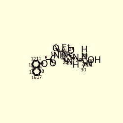 CCC(C(=O)NCC(=O)COc1cccc2ccccc12)n1ccnc(NCC(=N)/C(C)=N\O)c1=O